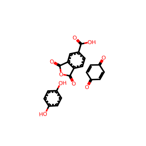 O=C(O)c1ccc2c(c1)C(=O)OC2=O.O=C1C=CC(=O)C=C1.Oc1ccc(O)cc1